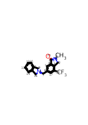 CN1Cc2c(cc(CN3Cc4ccccc4C3)cc2C(F)(F)F)C1=O